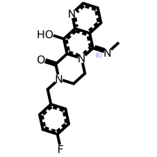 C/N=c1\c2cccnc2c(O)c2n1CCN(Cc1ccc(F)cc1)C2=O